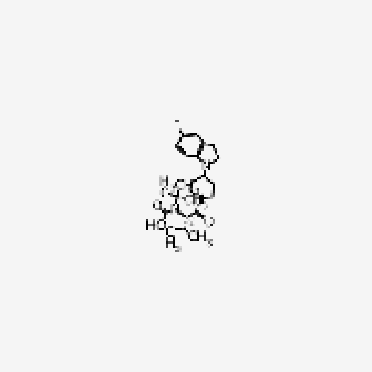 CC(C)[C@@H](C(=O)N1CCC(N2CCc3cc(F)ccc32)CC1)N(C(=O)O)C(C)(C)C